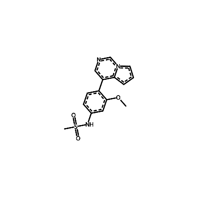 COc1cc(NS(C)(=O)=O)ccc1-c1cncn2cccc12